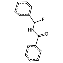 O=C(NC(F)c1ccccc1)c1ccccc1